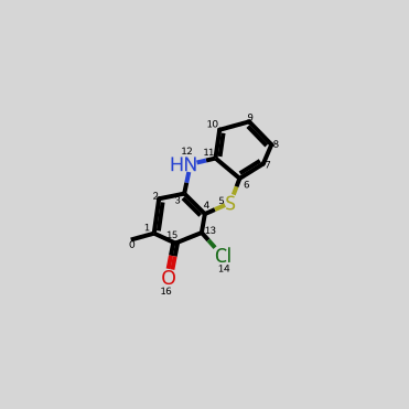 CC1=CC2=C(Sc3ccccc3N2)C(Cl)C1=O